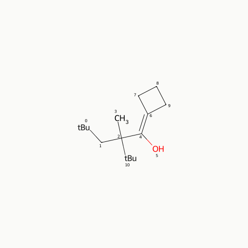 CC(C)(C)CC(C)(C(O)=C1CCC1)C(C)(C)C